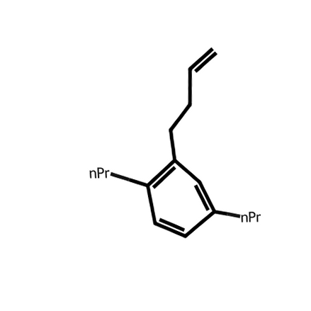 C=CCCc1cc(CCC)ccc1CCC